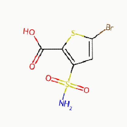 NS(=O)(=O)c1cc(Br)sc1C(=O)O